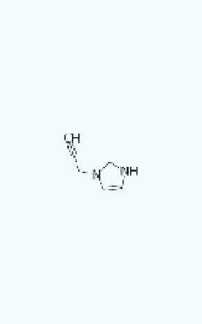 C#CCN1C=CNC1